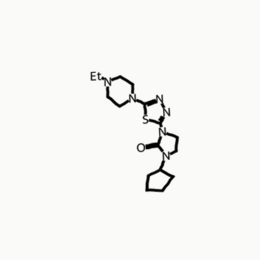 CCN1CCN(c2nnc(N3CCN(C4CCCC4)C3=O)s2)CC1